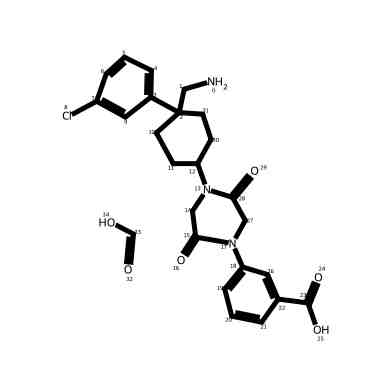 NCC1(c2cccc(Cl)c2)CCC(N2CC(=O)N(c3cccc(C(=O)O)c3)CC2=O)CC1.O=CO